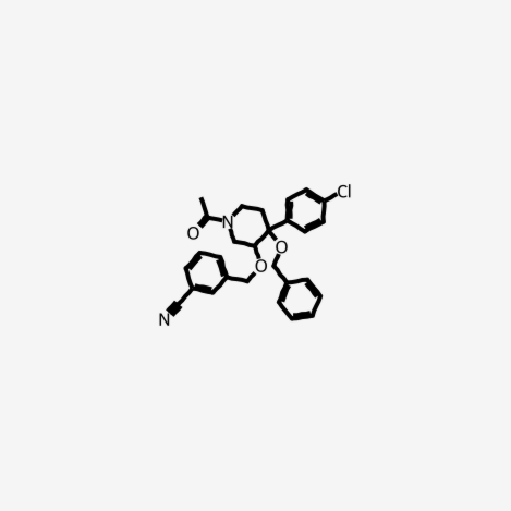 CC(=O)N1CCC(OCc2ccccc2)(c2ccc(Cl)cc2)C(OCc2cccc(C#N)c2)C1